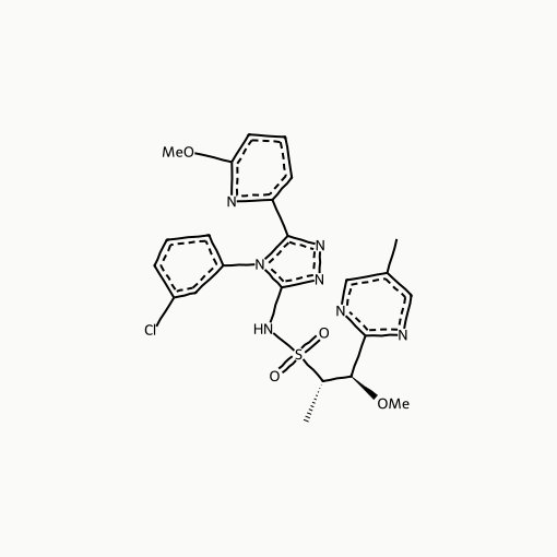 COc1cccc(-c2nnc(NS(=O)(=O)[C@@H](C)[C@H](OC)c3ncc(C)cn3)n2-c2cccc(Cl)c2)n1